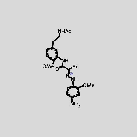 COc1cc([N+](=O)[O-])ccc1N/N=C(\C(C)=O)C(=O)Nc1cc(CCNC(C)=O)ccc1OC